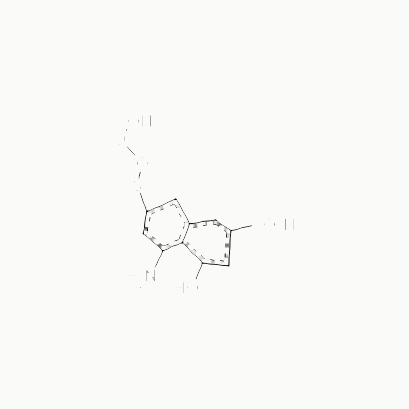 Nc1cc(SOOO)cc2cc(S(=O)(=O)O)cc(O)c12